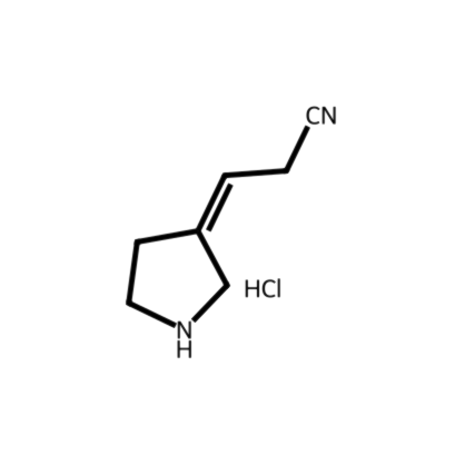 Cl.N#CCC=C1CCNC1